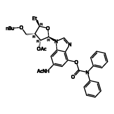 CCCCOC[C@H]1[C@@H](OC(C)=O)[C@H](n2cnc3c(OC(=O)N(c4ccccc4)c4ccccc4)cc(NC(C)=O)cc32)O[C@@H]1CC